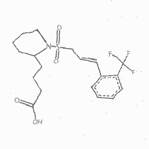 O=C(O)CCCC1CCCCN1S(=O)(=O)CC=Cc1ccccc1C(F)(F)F